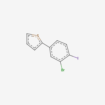 Brc1cc(-c2cccs2)ccc1I